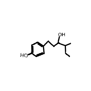 CCC(C)C(O)CCc1ccc(O)cc1